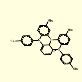 CC(C)(C)c1ccc(N2C3=CC=C[C@]4(C)C3B(c3cc(C(C)(C)C)ccc32)c2cc(C(C)(C)C)ccc2N4c2ccc(C(C)(C)C)cc2)cc1